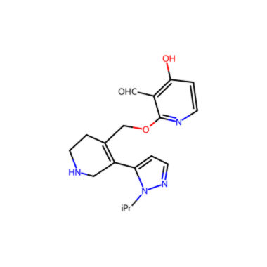 CC(C)n1nccc1C1=C(COc2nccc(O)c2C=O)CCNC1